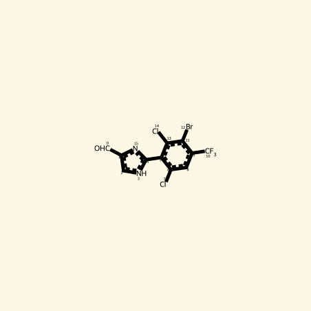 O=Cc1c[nH]c(-c2c(Cl)cc(C(F)(F)F)c(Br)c2Cl)n1